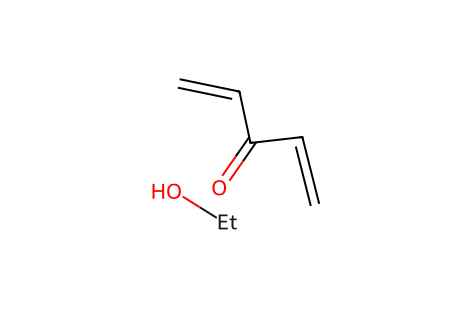 C=CC(=O)C=C.CCO